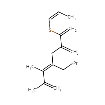 C=C(C/C(CC(C)C)=C(\C)C(=C)C)C(=C)S/C=C\C